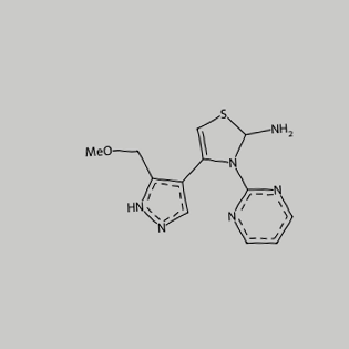 COCc1[nH]ncc1C1=CSC(N)N1c1ncccn1